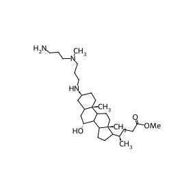 COC(=O)CC[C@@H](C)C1CCC2C3C(CC[C@@]21C)[C@@]1(C)CC[C@H](NCCCN(C)CCCN)CC1C[C@H]3O